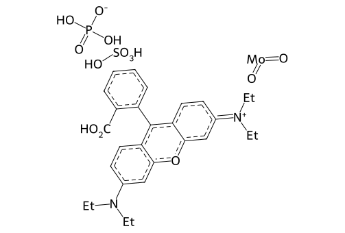 CCN(CC)c1ccc2c(-c3ccccc3C(=O)O)c3ccc(=[N+](CC)CC)cc-3oc2c1.O=P([O-])(O)O.O=S(=O)(O)O.[O]=[Mo]=[O]